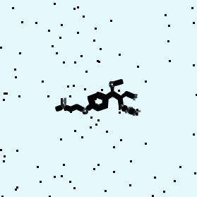 CNCCOc1ccc([C@@H](OC)[C@@H](CF)N=[N+]=[N-])cc1